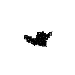 Cc1c([C@H](OC(C)(C)C)C(=O)O)c(-c2ccc(Cl)cc2)c2cc(C)n3c2c1N(c1ncc(OCc2ccc(F)cc2)cn1)CC3